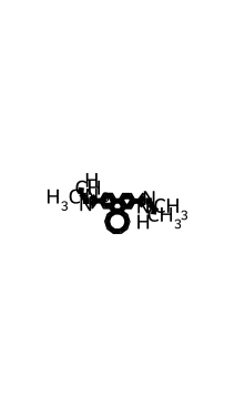 CC(C)c1ncc(-c2ccc3c(c2)c2c(c4cc(-c5cnc(C(C)C)[nH]5)ccc43)CCCCCCCC2)[nH]1